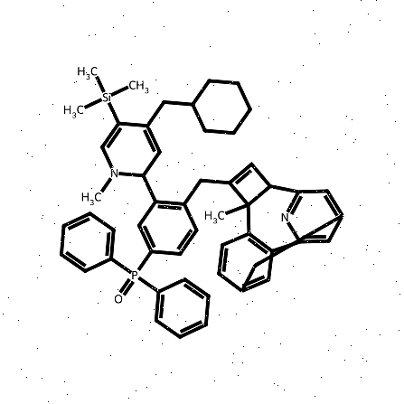 CN1C=C([Si](C)(C)C)C(CC2CCCCC2)=CC1c1cc(P(=O)(c2ccccc2)c2ccccc2)ccc1CC1=CC2c3cc4cc(n3)-c3cc(ccc3C12C)C4